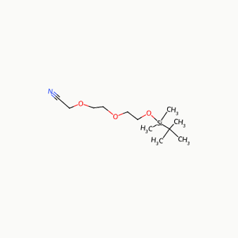 CC(C)(C)[Si](C)(C)OCCOCCOCC#N